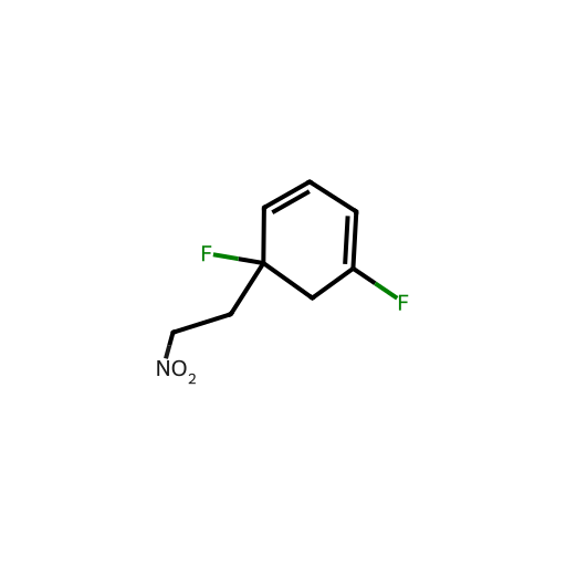 O=[N+]([O-])CCC1(F)C=CC=C(F)C1